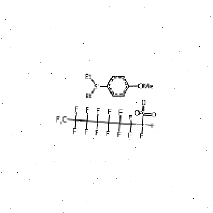 CC[S+](CC)c1ccc(OC)cc1.O=S(=O)([O-])C(F)(F)C(F)(F)C(F)(F)C(F)(F)C(F)(F)C(F)(F)C(F)(F)C(F)(F)F